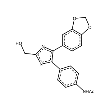 CC(=O)Nc1ccc(-n2nc(CO)nc2-c2ccc3c(c2)OCO3)cc1